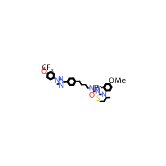 COc1ccc(N2/C(=N/C(=O)NCCCCc3ccc(-c4ncn(-c5ccc(OC(F)(F)F)cc5)n4)cc3)SCCC2C)c(C(C)C)c1